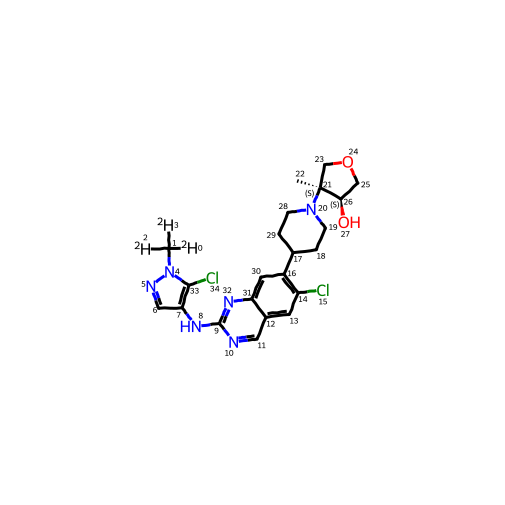 [2H]C([2H])([2H])n1ncc(Nc2ncc3cc(Cl)c(C4CCN([C@@]5(C)COC[C@H]5O)CC4)cc3n2)c1Cl